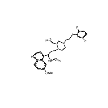 CONC(CC[C@@H]1CCN(CCSc2cc(F)ccc2F)C[C@@H]1CO)c1ccnc2ccc(OC)cc12